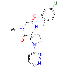 CC(C)N1CC(=O)N(Cc2ccc(Cl)cc2)[C@]2(CCN(c3cccnn3)C2)C1=O